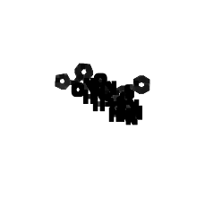 O=C(Nc1nc(CSc2ccccc2)c(S(=O)(=O)c2nnn[nH]2)s1)Nc1ccccc1C(=O)C1CCCC1